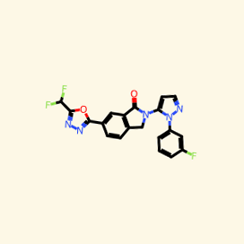 O=C1c2cc(-c3nnc(C(F)F)o3)ccc2CN1c1ccnn1-c1cccc(F)c1